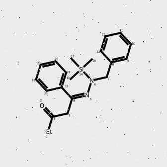 CCC(=O)CC(=NN(Cc1ccccc1)[Si](C)(C)C)c1ccccc1